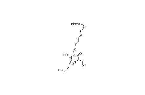 CCCCC/C=C\CC=CC=C/C=C/[C@H](C(=O)C(N)CS)[C@@H](O)CCCC(=O)O